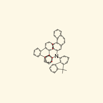 CC1(C)c2ccccc2-c2c(N(c3ccc4c(ccc5ccccc54)c3)c3ccccc3-c3ccccc3-c3ccccc3-c3ccccc3)cccc21